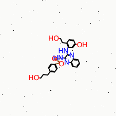 O=S(=O)(Nc1nc2ccccc2nc1Nc1cc(O)ccc1CCO)c1ccc(CCCO)cc1